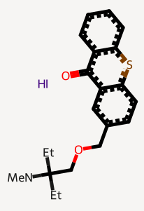 CCC(CC)(COCc1ccc2sc3ccccc3c(=O)c2c1)NC.I